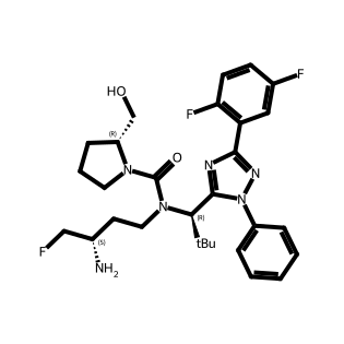 CC(C)(C)[C@H](c1nc(-c2cc(F)ccc2F)nn1-c1ccccc1)N(CC[C@H](N)CF)C(=O)N1CCC[C@@H]1CO